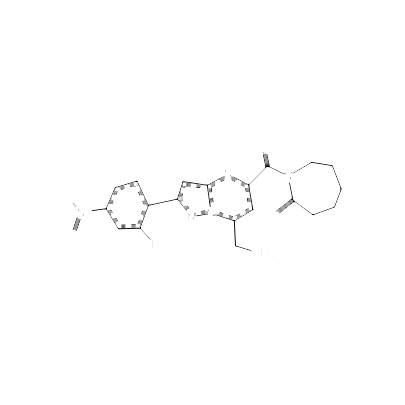 C=C1CCCCCN1C(=O)c1cc(CC)n2nc(-c3ccc([N+](=O)[O-])cc3F)cc2n1